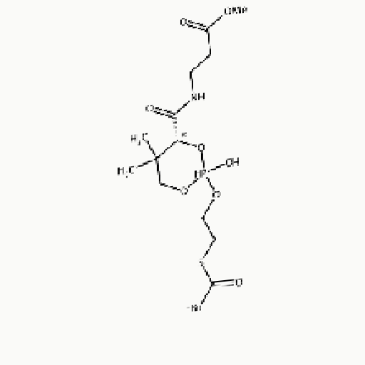 COC(=O)CCNC(=O)[C@@H]1O[PH](O)(OCCSC(=O)C(C)(C)C)OCC1(C)C